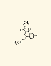 CCOC(=O)C1=CC(CCOC)c2ccc(I)cc2C1=O